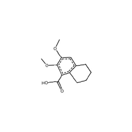 COc1cc2c(c(C(=O)O)c1OC)CCCC2